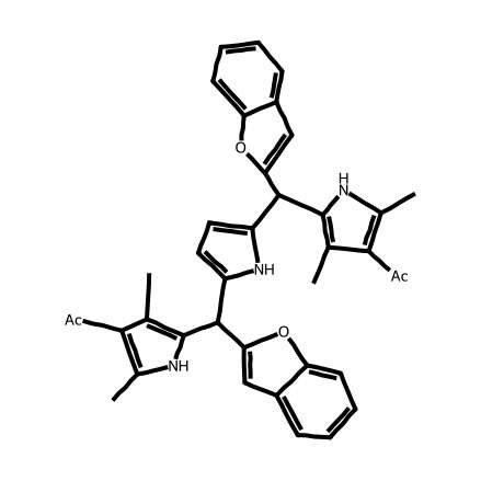 CC(=O)c1c(C)[nH]c(C(c2ccc(C(c3cc4ccccc4o3)c3[nH]c(C)c(C(C)=O)c3C)[nH]2)c2cc3ccccc3o2)c1C